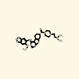 COc1cc2nnsc2cc1Nc1ncnc2sc3c(c12)CC[C@H](C(=O)N1CCN(CCN(C)C)CC1)C3